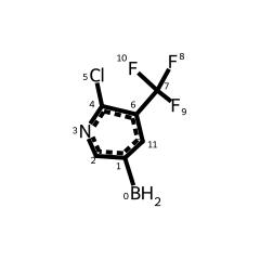 Bc1cnc(Cl)c(C(F)(F)F)c1